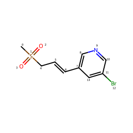 CS(=O)(=O)C/C=C/c1cncc(Br)c1